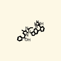 CCc1nc2c(C)cc([C@@H](O)c3ccccc3)nc2n1[C@H]1CCc2cc(-c3ccccc3-c3nnn[nH]3)ccc21